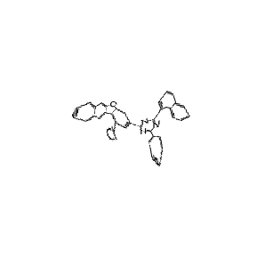 Clc1cc(-c2nc(-c3ccccc3)nc(-c3cccc4ccccc34)n2)cc2oc3cc4ccccc4cc3c12